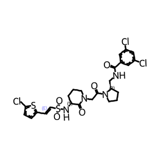 O=C(NC[C@H]1CCCN1C(=O)CN1CCC[C@H](NS(=O)(=O)/C=C/c2ccc(Cl)s2)C1=O)c1cc(Cl)cc(Cl)c1